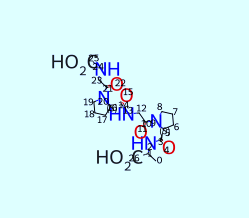 CC(NC(=O)[C@@H]1CCCN1C(=O)CNC(=O)[C@@H]1CCCN1C(=O)CNC(=O)O)C(=O)O